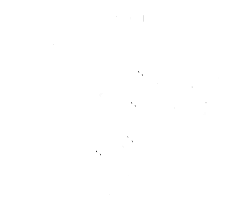 COc1cc(OC)c(F)c(-c2cc3cnc(SC)nc3n3cc(CC(C)(C)C=O)nc23)c1F